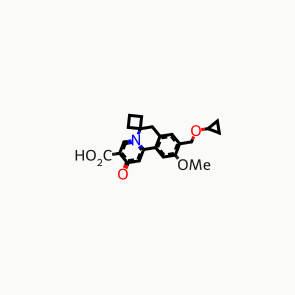 COc1cc2c(cc1COC1CC1)CC1(CCC1)n1cc(C(=O)O)c(=O)cc1-2